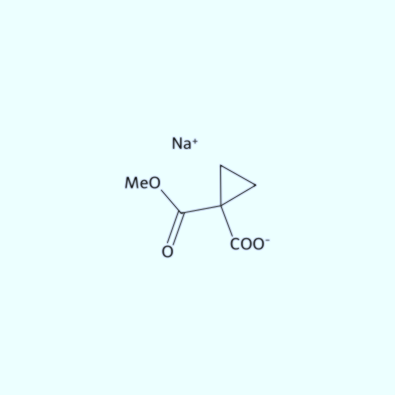 COC(=O)C1(C(=O)[O-])CC1.[Na+]